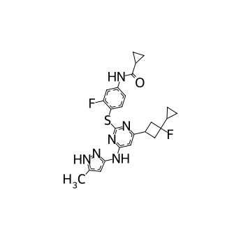 Cc1cc(Nc2cc(C3CC(F)(C4CC4)C3)nc(Sc3ccc(NC(=O)C4CC4)cc3F)n2)n[nH]1